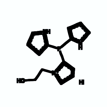 I.OCCn1cccc1P(c1ccc[nH]1)c1ccc[nH]1